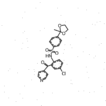 CC1(c2ccc(S(=O)(=O)Nc3ccc(Cl)cc3C(=O)c3ccncc3)cc2)OCCO1